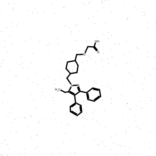 CCc1c(-c2ccccc2)c(-c2ccccc2)nn1CC1CCC(COCC(=O)O)CC1